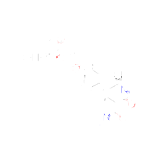 NC(=O)c1cc(-c2ccc(OCC3COCC(C=O)O3)cc2)c(C(F)(F)F)[nH]c1=O